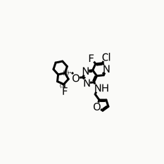 Fc1c(Cl)ncc2c(NCc3ccco3)nc(OC[C@@]34CCCCC3C[C@H](F)C4)nc12